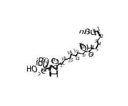 CCCC/C=C\C/C=C\CC(=O)C(O)CCCCCCCC(=O)N[C@H](C(=O)O)[C@@H](C)CC